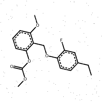 CCc1ccc(OCc2c(OC)cccc2OC(=O)OC)c(F)c1